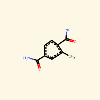 [CH2]c1cc(C(N)=O)ccc1C([NH])=O